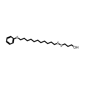 OCCCSSCCCCCCCCCCCSc1ccccc1